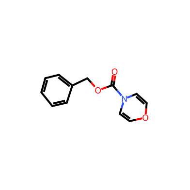 O=C(OCc1ccccc1)N1C=COC=C1